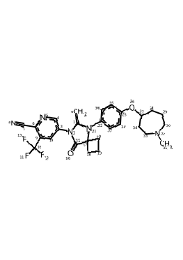 C=C1N(c2cnc(C#N)c(C(F)(F)F)c2)C(=O)C2(CCC2)N1c1ccc(OC2CCCN(C)CC2)cc1